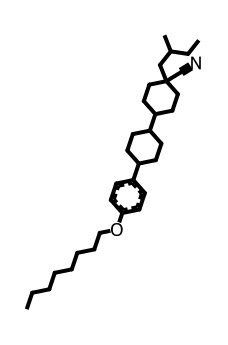 CCCCCCCCOc1ccc(C2CCC(C3CCC(C#N)(CC(C)CC)CC3)CC2)cc1